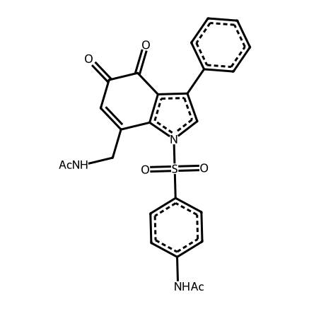 CC(=O)NCC1=CC(=O)C(=O)c2c(-c3ccccc3)cn(S(=O)(=O)c3ccc(NC(C)=O)cc3)c21